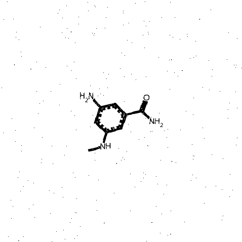 CNc1cc(N)cc(C(N)=O)c1